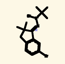 CC1(C)Cc2ccc(Br)cc2/C1=N/[S+]([O-])C(C)(C)C